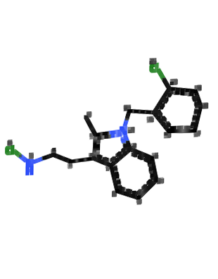 Cc1c(CCNCl)c2ccccc2n1Cc1ccccc1Cl